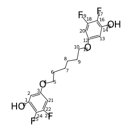 Oc1cc(OCCCCCCOc2cc(O)c(F)c(F)c2)cc(F)c1F